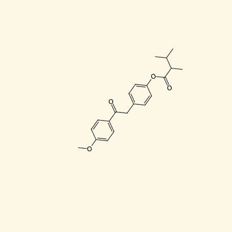 COc1ccc(C(=O)Cc2ccc(OC(=O)C(C)C(C)C)cc2)cc1